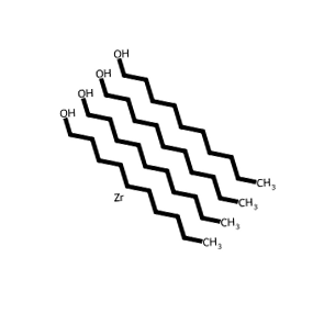 CCCCCCCCCCO.CCCCCCCCCCO.CCCCCCCCCCO.CCCCCCCCCCO.[Zr]